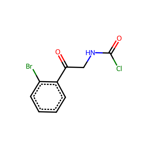 O=C(Cl)NCC(=O)c1ccccc1Br